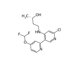 C[C@H](O)CCNc1cc(Cl)ncc1-c1cc(OC(F)F)ccn1